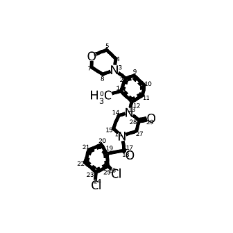 Cc1c(N2CCOCC2)cccc1N1CCN(C(=O)c2cccc(Cl)c2Cl)CC1=O